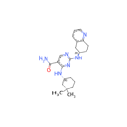 CC1(C)CCC[C@@H](Nc2nc(N[C@@H]3CCc4ncccc4C3)ncc2C(N)=O)C1